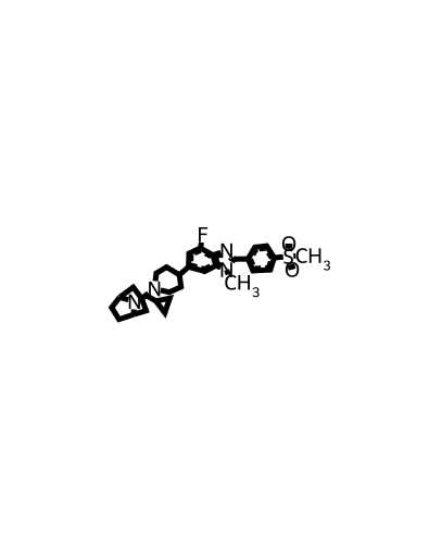 Cn1c(-c2ccc(S(C)(=O)=O)cc2)nc2c(F)cc(C3CCN(C4CC5CCC(C4)N5CC4CC4)CC3)cc21